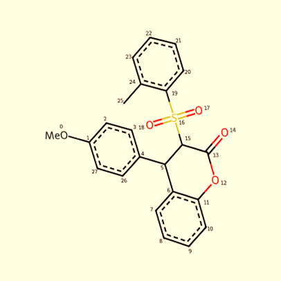 COc1ccc(C2c3ccccc3OC(=O)C2S(=O)(=O)c2ccccc2C)cc1